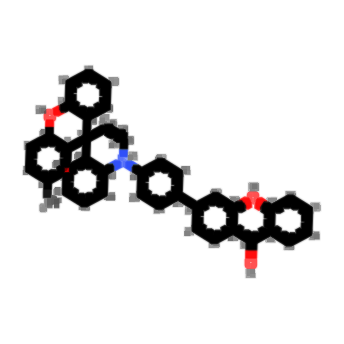 CC(C)c1ccc2c(c1)C1(c3ccccc3O2)c2ccccc2N(c2ccc(-c3ccc4c(=O)c5ccccc5oc4c3)cc2)c2ccccc21